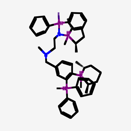 C[C@@H]1CCC[C@@H](C)[PH]1(C)c1ccc(CN(C)CCN([PH](I)(c2ccccc2)c2ccccc2)[PH]2(C)[C@H](C)CC[C@H]2C)cc1[PH](C)(c1ccccc1)c1ccccc1